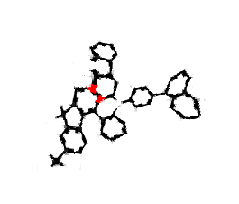 CC(C)(C)c1ccc2c(c1)C(C)(C)c1cccc(-c3ccccc3N(c3ccc(-c4cccc5ccccc45)cc3)c3ccc4sc5ccccc5c4c3)c1-2